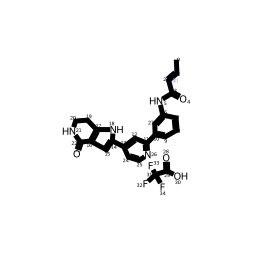 C/C=C/C(=O)Nc1cccc(-c2cc(-c3cc4c([nH]3)CCNC4=O)ccn2)c1.O=C(O)C(F)(F)F